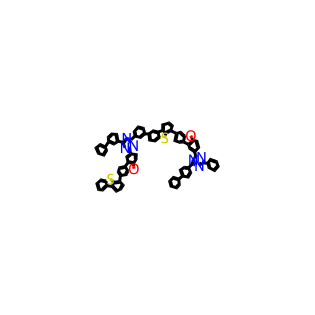 c1ccc(-c2ccc(-c3nc(-c4ccccc4)nc(-c4ccc5oc6cc(-c7cccc8c7sc7ccc(-c9cccc(-c%10nc(-c%11cccc(-c%12ccccc%12)c%11)nc(-c%11ccc%12oc%13cc(-c%14cccc%15c%14sc%14ccccc%14%15)ccc%13c%12c%11)n%10)c9)cc78)ccc6c5c4)n3)cc2)cc1